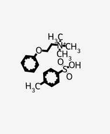 C[N+](C)(C)CCOc1ccccc1.Cc1ccc(S(=O)(=O)O)cc1